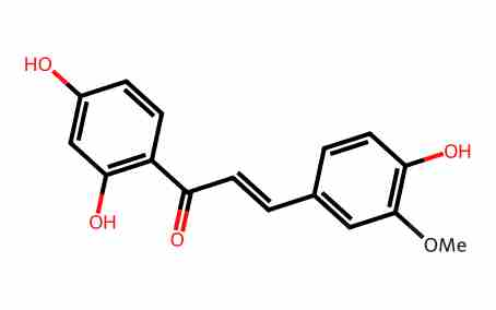 COc1cc(C=CC(=O)c2ccc(O)cc2O)ccc1O